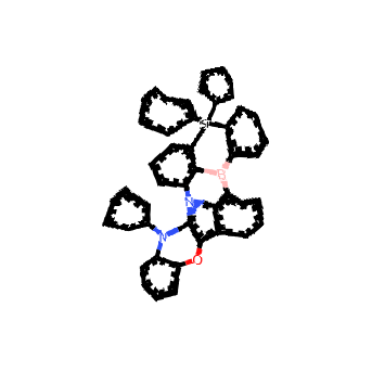 c1ccc(N2c3ccccc3Oc3c2n2c4c(cccc34)B3c4ccccc4[Si](c4ccccc4)(c4ccccc4)c4cccc-2c43)cc1